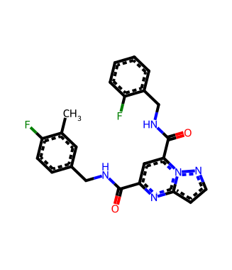 Cc1cc(CNC(=O)c2cc(C(=O)NCc3ccccc3F)n3nccc3n2)ccc1F